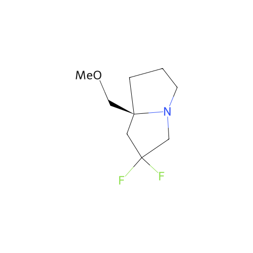 COC[C@@]12CCCN1CC(F)(F)C2